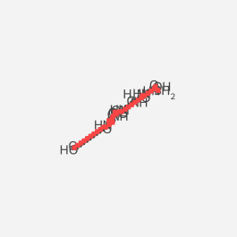 BN[C@@H](CCCCNC(=O)[C@@H](N)CCCCNC(=O)CCCCCNC(=O)CC[C@H](NC(=O)C1CCC(CNC(=O)CCCCCCCCCCCCCCCCCCC(=O)O)CC1)C(=O)O)C(=O)O